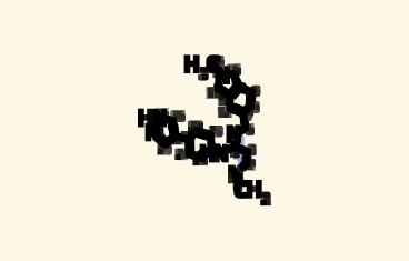 C=N/C=C\C(=N/Cc1ccc2c(c1)CN(C)C2)Nc1ccc(-c2cn[nH]c2)cc1